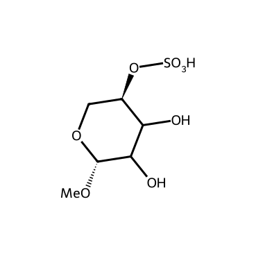 CO[C@@H]1OC[C@@H](OS(=O)(=O)O)C(O)C1O